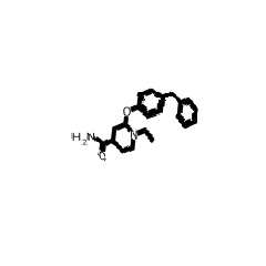 CCN1CCC(C(N)=O)CC1Oc1ccc(Cc2ccccc2)cc1